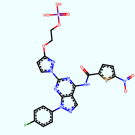 O=C(Nc1nc(-n2ccc(OCCOP(=O)(O)O)n2)nc2c1cnn2-c1ccc(F)cc1)c1ccc([N+](=O)[O-])s1